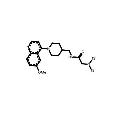 CCN(CC)CC(=O)NCC1CCN(c2ccnc3ccc(OC)cc23)CC1